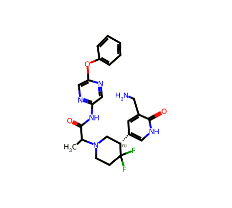 CC(C(=O)Nc1cnc(Oc2ccccc2)cn1)N1CCC(F)(F)[C@@H](c2c[nH]c(=O)c(CN)c2)C1